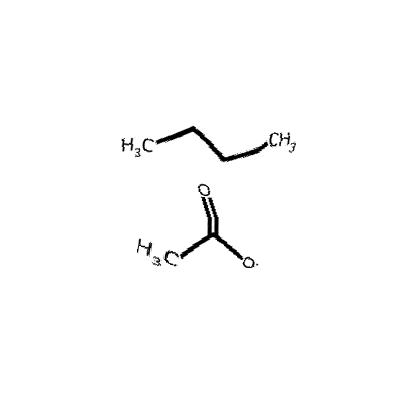 CC([O])=O.CCCC